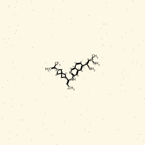 C=C(N1CC2(CC(/C(=C/C)Nc3cc4cc(/C(N)=C/N(C)N)ccc4cn3)C2)C1)C(F)(F)F